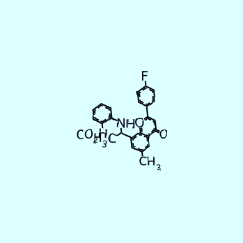 Cc1cc(C(C)Nc2ccccc2C(=O)O)c2oc(-c3ccc(F)cc3)cc(=O)c2c1